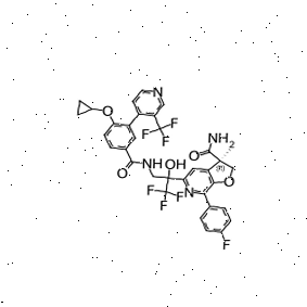 C[C@]1(C(N)=O)COc2c1cc(C(O)(CNC(=O)c1ccc(OC3CC3)c(-c3ccncc3C(F)(F)F)c1)C(F)(F)F)nc2-c1ccc(F)cc1